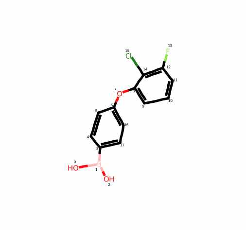 OB(O)c1ccc(Oc2cccc(F)c2Cl)cc1